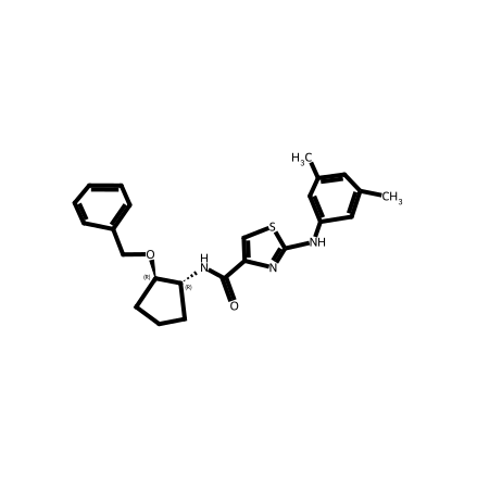 Cc1cc(C)cc(Nc2nc(C(=O)N[C@@H]3CCC[C@H]3OCc3ccccc3)cs2)c1